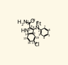 CCN(c1ccccc1)c1c(C(N)=O)[nH]c2ccc(Cl)cc12